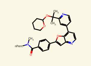 CCCCCN(C)C(=O)c1ccc(-c2cc3nccc(-c4ccnc(C(C)(C)OC5CCCCO5)c4)c3o2)cc1